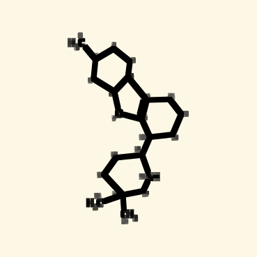 CC1CCC2C3=C(OC2C1)C(C1CCC(C)(C)CN1)CCC3